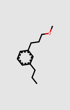 CCCc1cccc(CCCOC)c1